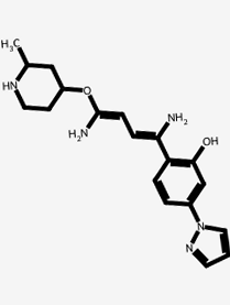 CC1CC(O/C(N)=C/C=C(\N)c2ccc(-n3cccn3)cc2O)CCN1